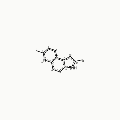 Cc1ccc2c(ccc3[nH]c(C)cc32)n1